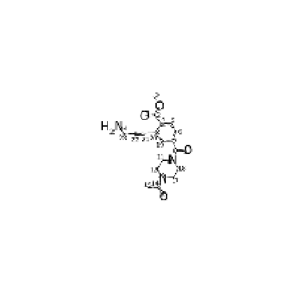 COC(=O)c1ccc(C(=O)N2CCN(C(C)=O)CC2)cc1C#CCN